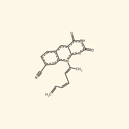 C=C/C=C\C=C(/C)n1c2nc(=O)[nH]c(=O)c-2cc2ccc(C#N)cc21